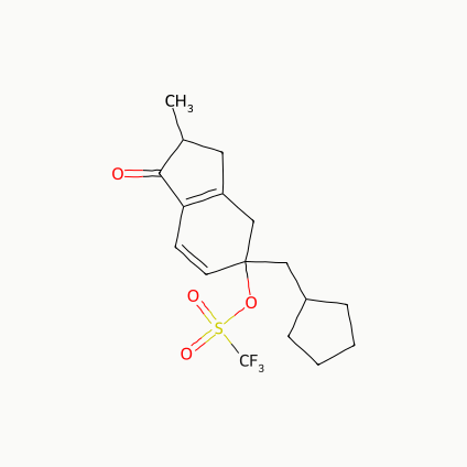 CC1CC2=C(C=CC(CC3CCCC3)(OS(=O)(=O)C(F)(F)F)C2)C1=O